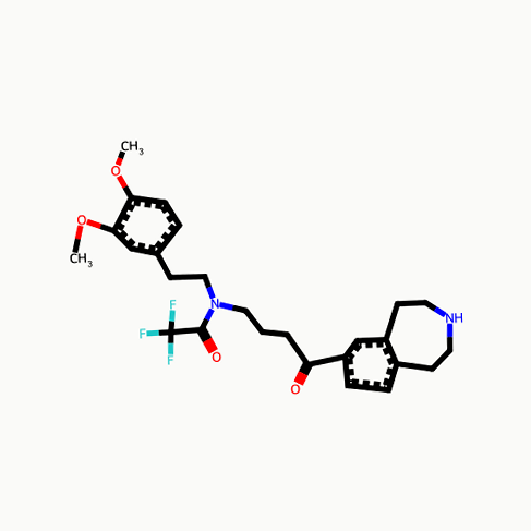 COc1ccc(CCN(CCCC(=O)c2ccc3c(c2)CCNCC3)C(=O)C(F)(F)F)cc1OC